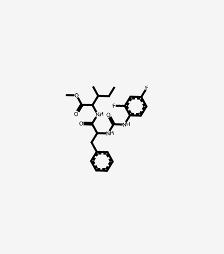 CCC(C)C(NC(=O)C(Cc1ccccc1)NC(=O)Nc1ccc(F)cc1F)C(=O)OC